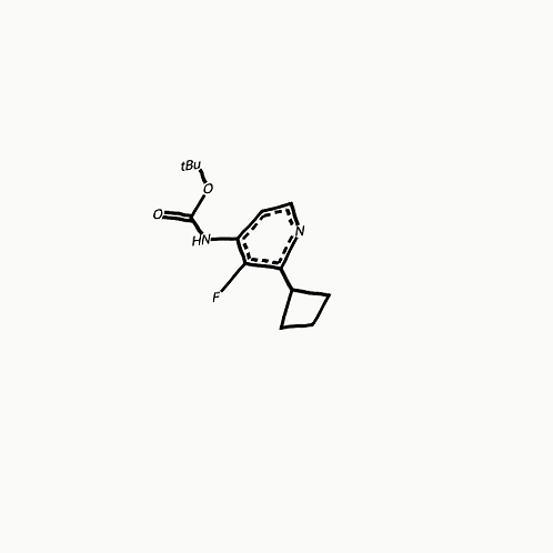 CC(C)(C)OC(=O)Nc1ccnc(C2CCC2)c1F